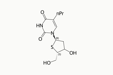 CCCc1cn([C@H]2CC(O)[C@H](CO)S2)c(=O)[nH]c1=O